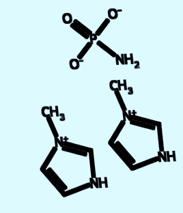 C[n+]1cc[nH]c1.C[n+]1cc[nH]c1.NP(=O)([O-])[O-]